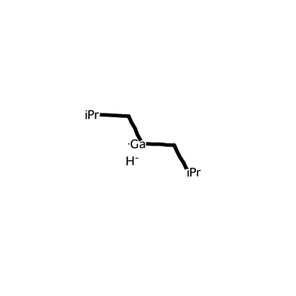 CC(C)[CH2][Ga][CH2]C(C)C.[H-]